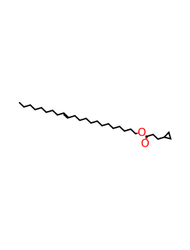 CCCCCCCCC=CCCCCCCCCCCCCOC(=O)CCC1CC1